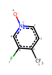 [O-][n+]1ccc(C(F)(F)F)c(F)c1